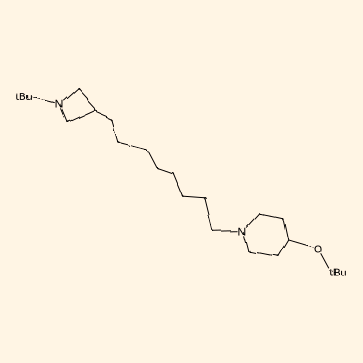 CC(C)(C)OC1CCN(CCCCCCCCC2CN(C(C)(C)C)C2)CC1